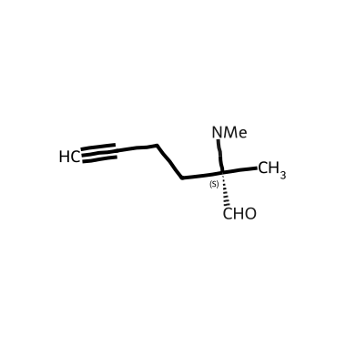 C#CCC[C@@](C)(C=O)NC